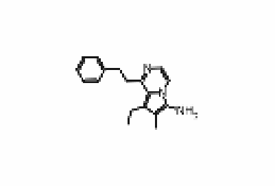 CCc1c(C)c(N)n2ccnc(CCc3ccccc3)c12